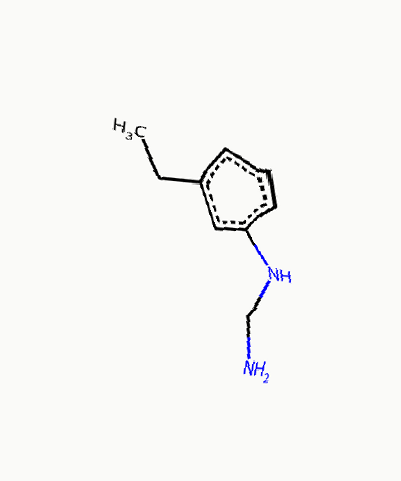 CCc1cccc(NCN)c1